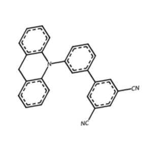 N#Cc1cc(C#N)cc(-c2cccc(N3c4ccccc4Cc4ccccc43)c2)c1